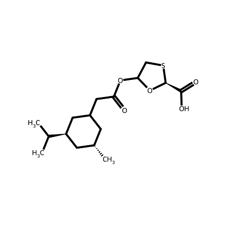 CC(C)[C@H]1CC(CC(=O)OC2CS[C@@H](C(=O)O)O2)C[C@H](C)C1